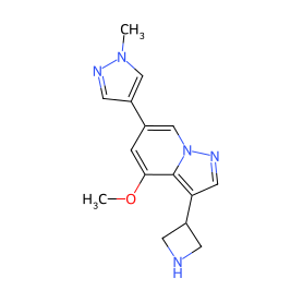 COc1cc(-c2cnn(C)c2)cn2ncc(C3CNC3)c12